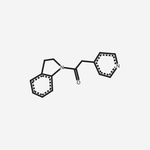 O=C(Cc1ccncc1)N1CCc2ccccc21